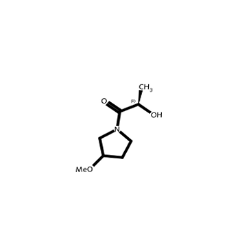 COC1CCN(C(=O)[C@@H](C)O)C1